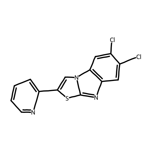 Clc1cc2nc3sc(-c4ccccn4)cn3c2cc1Cl